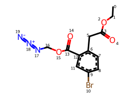 CCOC(=O)Cc1ccc(Br)cc1C(=O)OCN=[N+]=[N-]